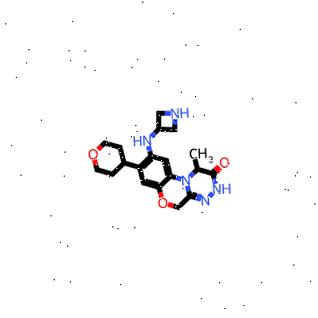 CC1C(=O)NN=C2COc3cc(C4CCOCC4)c(NC4CNC4)cc3N21